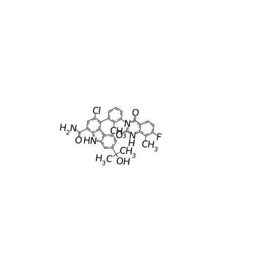 Cc1c(-c2c(Cl)cc(C(N)=O)c3[nH]c4cc(C(C)(C)O)ccc4c23)cccc1-n1c(=O)[nH]c2c(C)c(F)ccc2c1=O